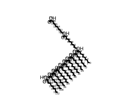 CCCCCCCCCC(=O)O.CCCCCCCCCC(=O)O.CCCCCCCCCC(=O)O.CCCCCCCCCC(=O)O.CCCCCCCCCC(=O)O.CCCCCCCCCC(=O)O.CCCCCCCCCC(=O)O.CCCCCCCCCC(=O)O.CCCCCCCCCC(=O)O.CCCCCCCCCC(=O)O.CCCCCCCCCC(=O)O.CCCCCCCCCC(=O)O